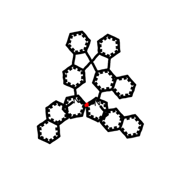 c1ccc(N(c2ccc3c(c2)C2(c4ccccc4-3)c3ccccc3-c3c2cc(N(c2ccccc2)c2ccc4ccccc4c2)c2ccccc32)c2ccc3ccccc3c2)cc1